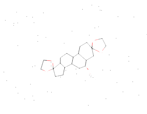 C[C@]12CCC3(CC1[C@@H](O[N+](=O)[O-])CC1C2CC[C@@]2(C)C1CCC21OCCO1)OCCO3